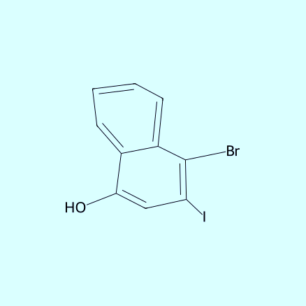 Oc1cc(I)c(Br)c2ccccc12